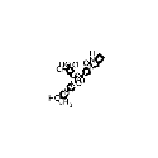 CC1(O)CCN(C2CCN(C(=O)[C@@H](Cc3cc(Cl)c(O)c(Cl)c3)OC(=O)N3CCC(N4CCc5ccccc5NC4=O)CC3)CC2)CC1